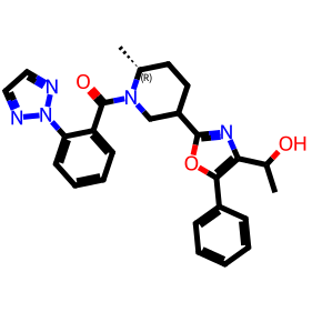 CC(O)c1nc(C2CC[C@@H](C)N(C(=O)c3ccccc3-n3nccn3)C2)oc1-c1ccccc1